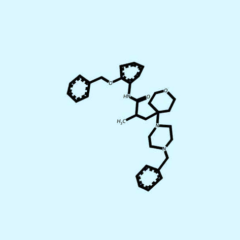 CC(CC1(N2CCN(Cc3ccccc3)CC2)CCOCC1)C(=O)Nc1ccccc1OCc1ccccc1